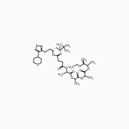 C=C(OCC)C(C)OC(=O)C(C)OC(=O)C(C)OC(=O)C(C)OC(=O)CCC(=O)O[C@@H](CNC(C)(C)C)COc1nsnc1N1CCOCC1